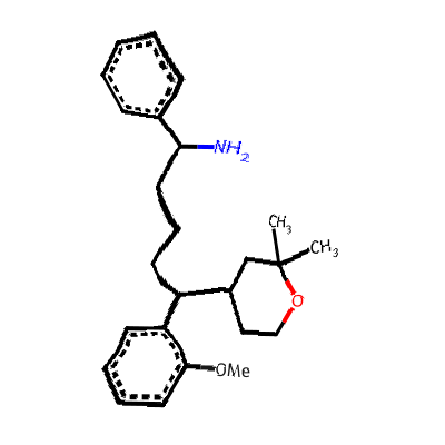 COc1ccccc1C(CCCC(N)c1ccccc1)C1CCOC(C)(C)C1